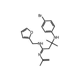 C=C(C)/N=C(\CC(C)(C)Nc1ccc(Br)cc1)NCc1ccco1